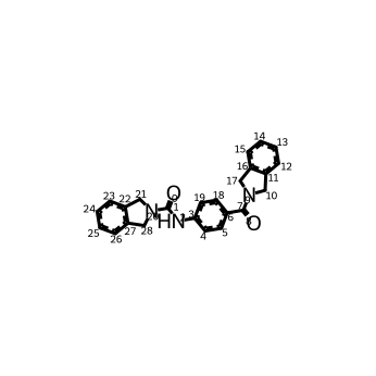 O=C(Nc1ccc(C(=O)N2Cc3ccccc3C2)cc1)N1Cc2ccccc2C1